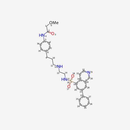 COCC(=O)Nc1ccc(CCCNCCNS(=O)(=O)c2cc(-c3ccccc3)cc3cnccc23)cc1